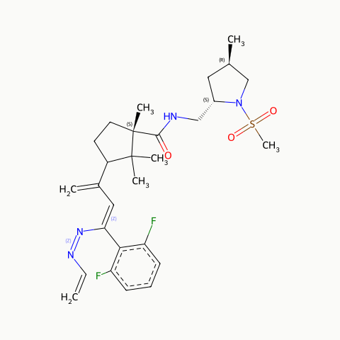 C=C/N=N\C(=C/C(=C)C1CC[C@](C)(C(=O)NC[C@@H]2C[C@@H](C)CN2S(C)(=O)=O)C1(C)C)c1c(F)cccc1F